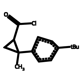 CC(C)(C)c1ccc(C2(C)CC2C(=O)Cl)cc1